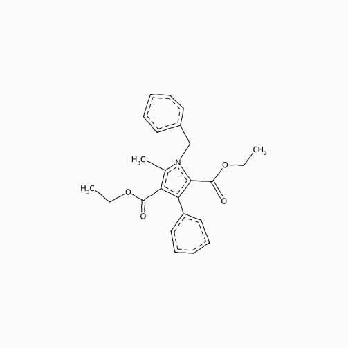 CCOC(=O)c1c(-c2ccccc2)c(C(=O)OCC)n(Cc2ccccc2)c1C